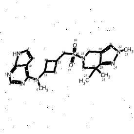 CN(c1ncnc2[nH]ccc12)C1CC(CS(=O)(=O)N2Cc3cn(C)nc3C(C)(C)C2)C1